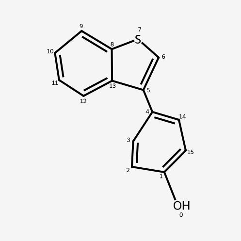 Oc1ccc(-c2csc3ccccc23)cc1